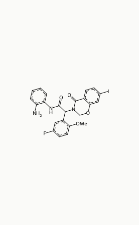 COc1ccc(F)cc1C(C(=O)Nc1ccccc1N)N1COc2cc(I)ccc2C1=O